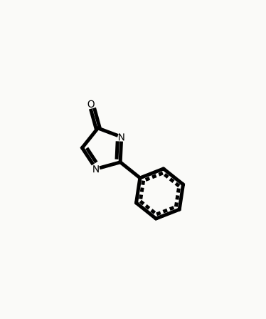 O=C1C=NC(c2ccccc2)=N1